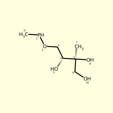 CPOC[C@@H](O)[C@@](C)(O)CO